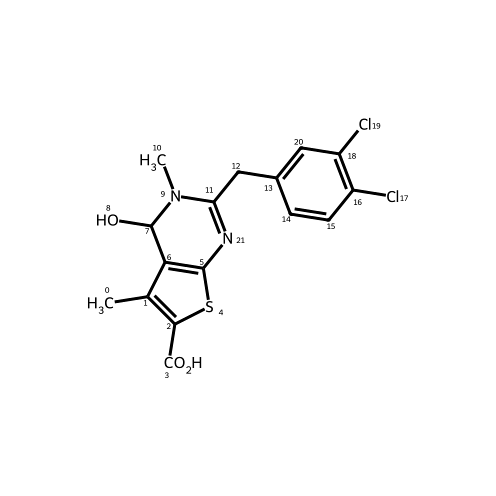 Cc1c(C(=O)O)sc2c1C(O)N(C)C(Cc1ccc(Cl)c(Cl)c1)=N2